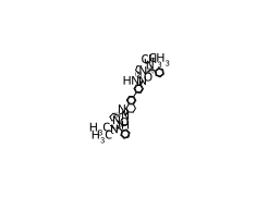 CCN(CC)[C@@H](C(=O)N1CCC[C@H]1c1nc2c([nH]1)CCc1cc(-c3ccc4nc([C@@H]5CCCN5C(=O)[C@@H](c5ccccc5)N(CC)CC)[nH]c4c3)ccc1-2)c1ccccc1